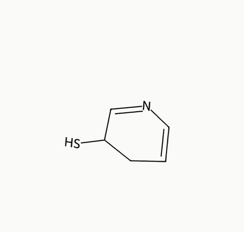 SC1C=NC=CC1